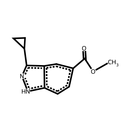 COC(=O)c1ccc2[nH]nc(C3CC3)c2c1